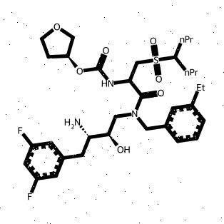 CCCC(CCC)S(=O)(=O)CC(NC(=O)O[C@H]1CCOC1)C(=O)N(Cc1cccc(CC)c1)C[C@@H](O)[C@@H](N)Cc1cc(F)cc(F)c1